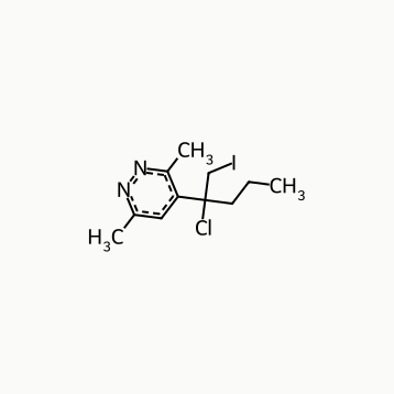 CCCC(Cl)(CI)c1cc(C)nnc1C